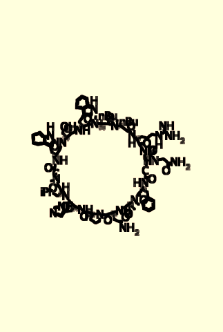 CCCC[C@H]1C(=O)N(C)[C@@H](CCCC)C(=O)N[C@@H](CCCNC(=N)N)C(=O)N[C@H](C(=O)NCC(N)=O)CCC(=O)N[C@@H](Cc2ccccc2)C(=O)N(C)[C@@H](C)C(=O)N[C@@H](CC(N)=O)C(=O)N2CCC[C@H]2C(=O)N[C@@H](Cc2cnc[nH]2)C(=O)N[C@@H](CC(C)C)C(=O)N(C)CC(=O)N[C@@H](Cc2c[nH]c3ccccc23)C(=O)N[C@@H](CO)C(=O)N[C@@H](Cc2c[nH]c3ccccc23)C(=O)N1C